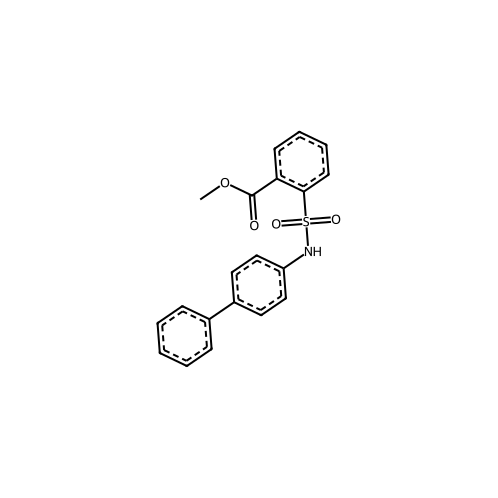 COC(=O)c1ccccc1S(=O)(=O)Nc1ccc(-c2ccccc2)cc1